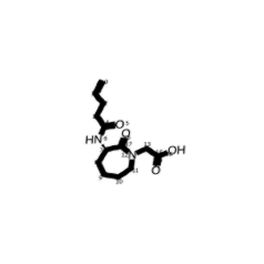 C=CCCC(=O)N[C@H]1CCCCN(CC(=O)O)C1=O